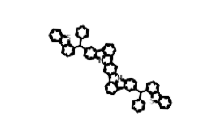 c1ccc(C(c2ccc3c(c2)c2cccc4c5cc6c(cc5n3c24)c2cccc3c4cc(C(c5ccccc5)c5cccc7c5sc5ccccc57)ccc4n6c32)c2cccc3c2sc2ccccc23)cc1